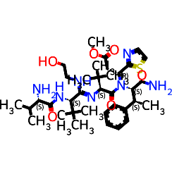 COC(=O)C[C@H](c1nccs1)N(C(=O)[C@@H](N=C(NCCO)[C@@H](NC(=O)[C@@H](N)C(C)C)C(C)(C)C)C(C)(C)C)[C@H](C(N)=O)[C@@H](C)c1ccccc1